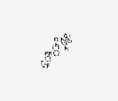 CCS(=O)(=O)c1nc(C(=O)N2CCc3c(cccc3Nc3ccc(C(F)(F)F)cc3)C2)c[nH]1